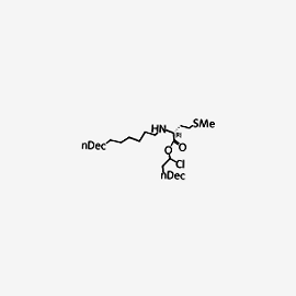 CCCCCCCCCCCCCCCCN[C@H](CCSC)C(=O)OC(Cl)CCCCCCCCCCC